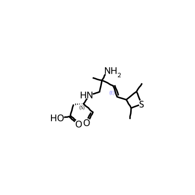 CC1SC(C)C1/C=C/C(C)(N)CN[C@H](C=O)CC(=O)O